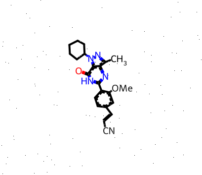 COc1cc(C=CC#N)ccc1-c1nc2c(C)nn(C3CCCCC3)c2c(=O)[nH]1